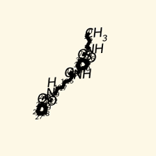 CCCCNS(=O)(=O)c1ccc(NC(=O)CCCCCNS(=O)(=O)c2ccccc2)cc1